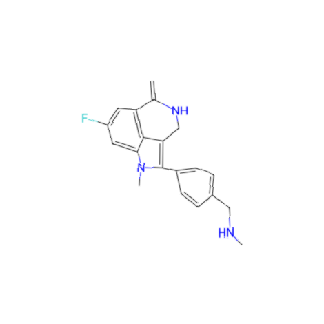 C=C1NCc2c(-c3ccc(CNC)cc3)n(C)c3cc(F)cc1c23